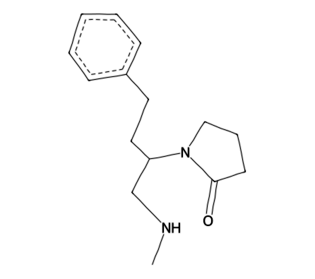 CNCC(CCc1ccccc1)N1CCCC1=O